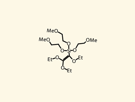 CCOC(OCC)=C(OCC)[Si](OCCOC)(OCCOC)OCCOC